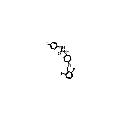 O=C(Nc1ccc(F)cc1)NC1CCC(OCc2c(F)cccc2F)CC1